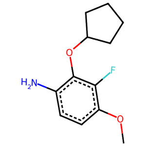 COc1ccc(N)c(OC2CCCC2)c1F